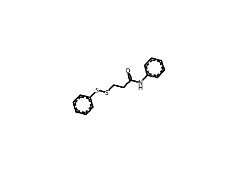 O=C(CCSSc1ccccc1)Nc1ccccc1